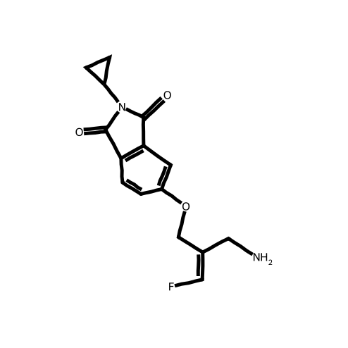 NC/C(=C/F)COc1ccc2c(c1)C(=O)N(C1CC1)C2=O